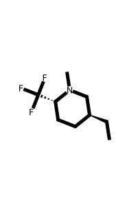 CC[C@H]1CC[C@H](C(F)(F)F)N(C)C1